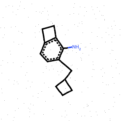 Nc1c(CC2CCC2)ccc2c1CC2